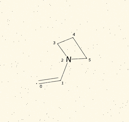 [CH]=CN1CCC1